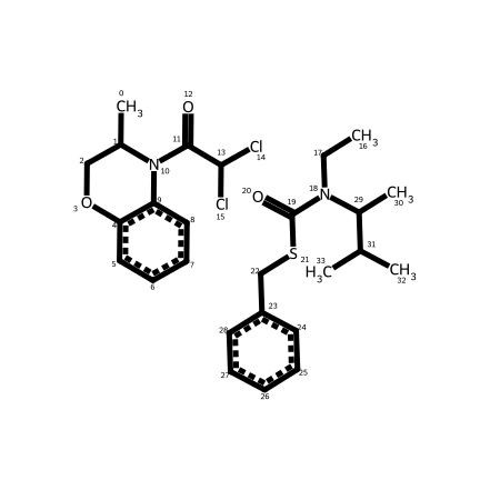 CC1COc2ccccc2N1C(=O)C(Cl)Cl.CCN(C(=O)SCc1ccccc1)C(C)C(C)C